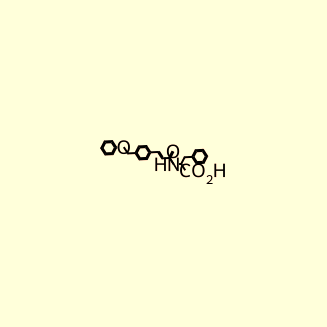 O=C(C=Cc1ccc(COc2ccccc2)cc1)NC(Cc1ccccc1)C(=O)O